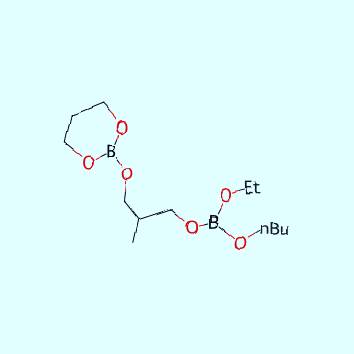 CCCCOB(OCC)OCC(C)COB1OCCCO1